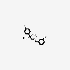 CC(C)(COCc1cccc(Br)c1)c1ccc(F)cc1